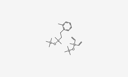 C=C[Si](C)(C=C)O[Si](C)(C)C.Cc1ccccc1CC[Si](C)(C)O[Si](C)(C)C